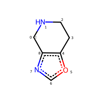 [C]1NCCc2ocnc21